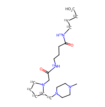 CN1CCN([13CH2][13CH]2[13CH2][13CH2][13CH2]N2CC(=O)[15NH]CCCC(=O)[15NH][13CH2][13CH2][13CH2][13C](=O)O)CC1